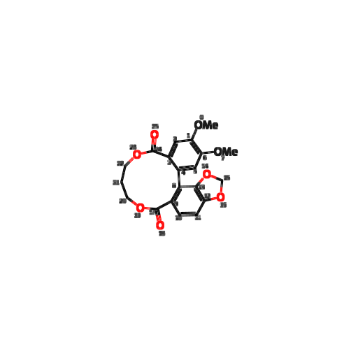 COc1cc2c(cc1OC)-c1c(ccc3c1OCO3)C(=O)OCCCOC2=O